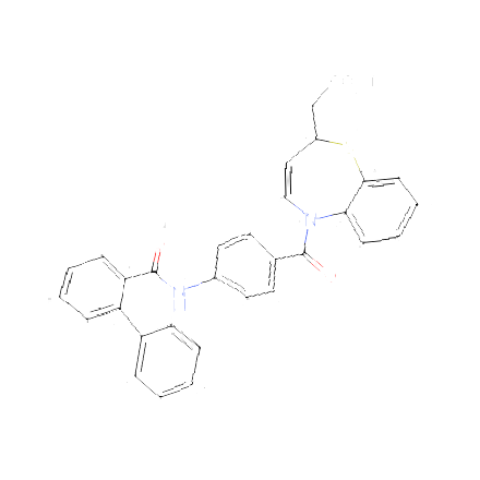 O=C(O)CC1C=CN(C(=O)c2ccc(NC(=O)c3ccccc3-c3ccccc3)cc2)c2ccccc2S1